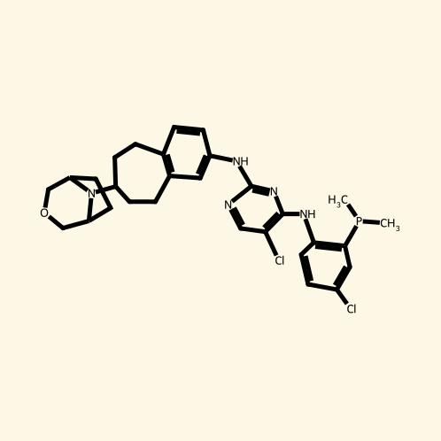 CP(C)c1cc(Cl)ccc1Nc1nc(Nc2ccc3c(c2)CCC(N2C4CCC2COC4)CC3)ncc1Cl